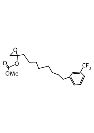 COC(=O)OC1(CCCCCCCCc2cccc(C(F)(F)F)c2)CO1